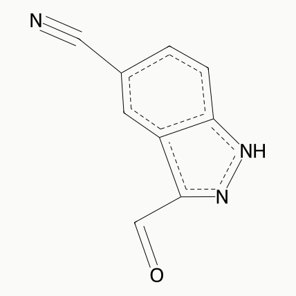 N#Cc1ccc2[nH]nc(C=O)c2c1